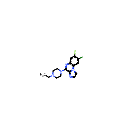 CCN1CCN(c2nc3cc(F)c(Cl)cc3n3ccnc23)CC1